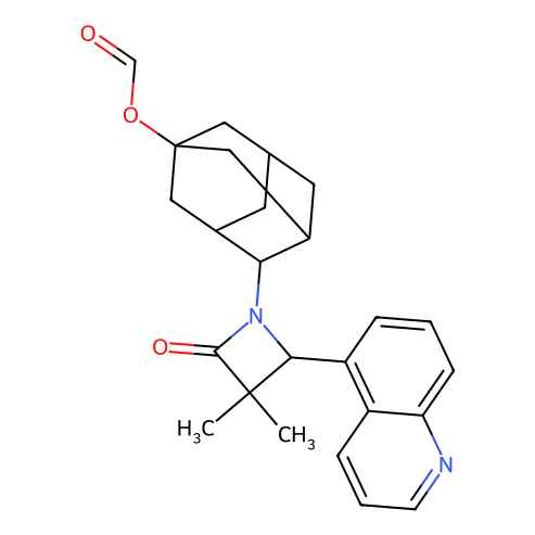 CC1(C)C(=O)N(C2C3CC4CC2CC(OC=O)(C4)C3)C1c1cccc2ncccc12